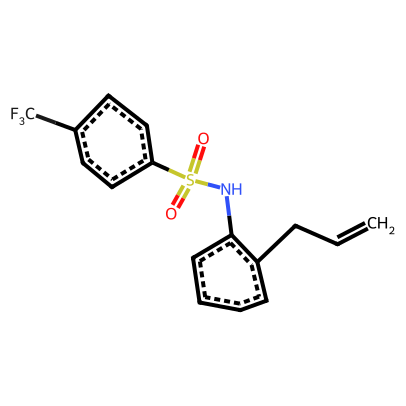 C=CCc1ccccc1NS(=O)(=O)c1ccc(C(F)(F)F)cc1